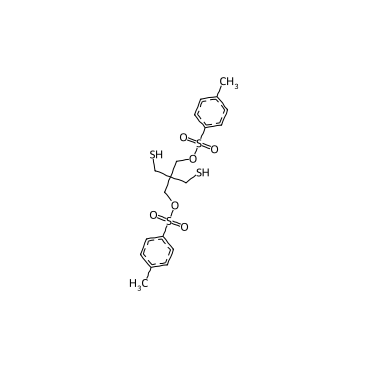 Cc1ccc(S(=O)(=O)OCC(CS)(CS)COS(=O)(=O)c2ccc(C)cc2)cc1